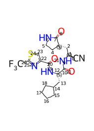 N#C[C@H](C[C@@H]1CCNC1=O)NC(=O)[C@H](CC1CCCC1)NC(=O)c1csc(C(F)(F)F)n1